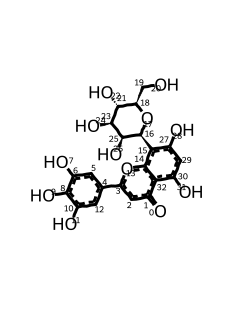 O=c1cc(-c2cc(O)c(O)c(O)c2)oc2c([C@@H]3O[C@H](CO)[C@@H](O)[C@H](O)[C@@H]3O)c(O)cc(O)c12